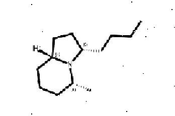 CCCC[C@H]1CC[C@H]2CCC[C@@H](C)N21